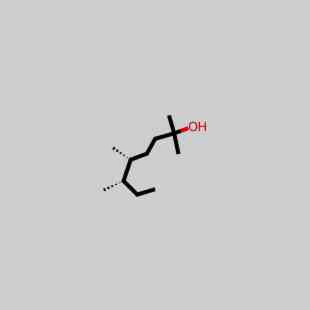 CC[C@H](C)[C@H](C)CCC(C)(C)O